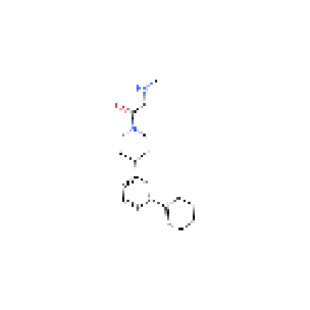 CNCC(=O)N1CCC(c2cc[c]c(C3=CCCCC3)c2)CC1